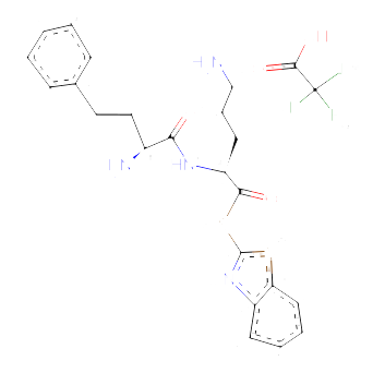 NCCC[C@H](NC(=O)[C@@H](N)CCc1ccccc1)C(=O)Sc1nc2ccccc2s1.O=C(O)C(F)(F)F